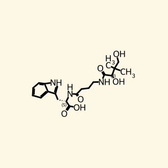 CC(C)(CO)[C@@H](O)C(=O)NCCCC(=O)N[C@@H](Cc1c[nH]c2ccccc12)C(=O)O